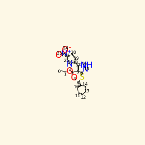 CCOC(=O)c1c(SCc2ccccc2)n[nH]c1-c1ccc([N+](=O)[O-])cn1